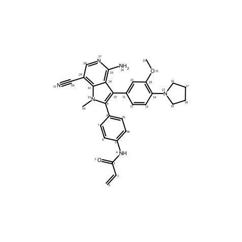 C=CC(=O)Nc1ccc(-c2c(-c3ccc(N4CCCC4)c(OC)c3)c3c(N)ncc(C#N)c3n2C)cc1